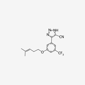 CC(C)=CCCOc1cc(-c2nn[nH]c2C#N)cc(C(F)(F)F)c1